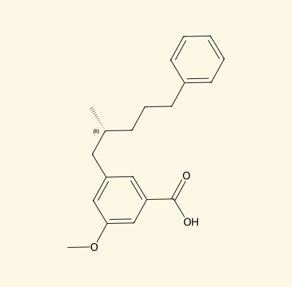 COc1cc(C[C@H](C)CCCc2ccccc2)cc(C(=O)O)c1